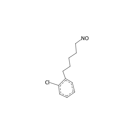 O=NCCCCCc1ccccc1Cl